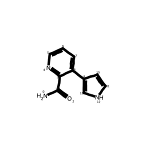 NC(=O)c1ncccc1-c1cc[nH]c1